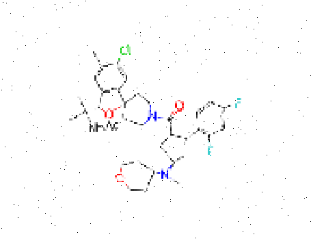 CC(=O)NC(C)(C)[C@H]1OC2(CCN(C(=O)[C@@H]3C[C@H](N(C)C4CCOCC4)C[C@H]3c3ccc(F)cc3F)CC2)c2cc(Cl)c(C)cc21